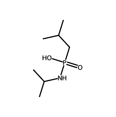 CC(C)CP(=O)(O)NC(C)C